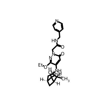 CCOc1nn(CC(=O)NCc2ccncc2)c(=O)cc1N[C@@H]1C[C@@H]2C[C@H]([C@H]1C)C2(C)C